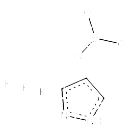 [K+].[K+].[K+].[O-]B([O-])[O-].c1cn[nH]c1